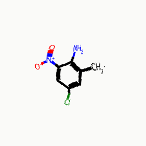 [CH2]c1cc(Cl)cc([N+](=O)[O-])c1N